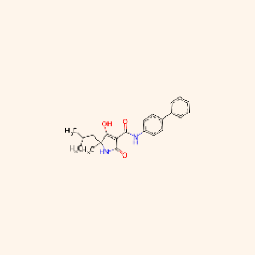 CC(C)CC1(C)NC(=O)C(C(=O)Nc2ccc(-c3ccccc3)cc2)=C1O